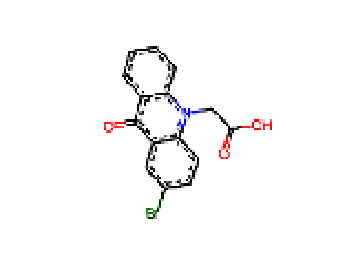 O=C(O)Cn1c2ccccc2c(=O)c2cc(Br)ccc21